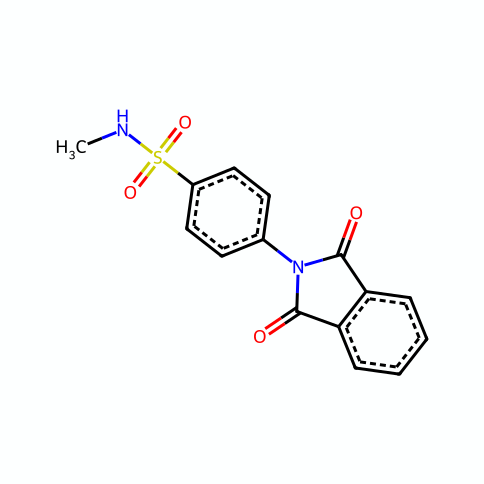 CNS(=O)(=O)c1ccc(N2C(=O)c3ccccc3C2=O)cc1